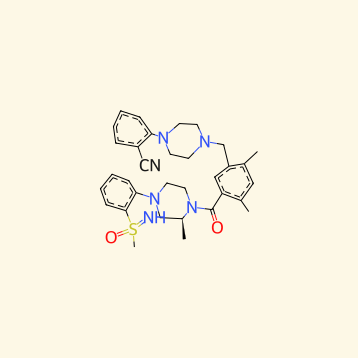 Cc1cc(C)c(C(=O)N2CCN(c3ccccc3S(C)(=N)=O)C[C@@H]2C)cc1CN1CCN(c2ccccc2C#N)CC1